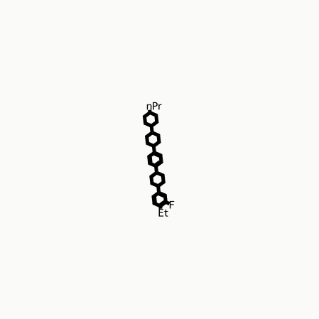 CCCC1CCC(C2CCC(c3ccc(C4CCC(c5ccc(CC)c(F)c5)CC4)cc3)CC2)CC1